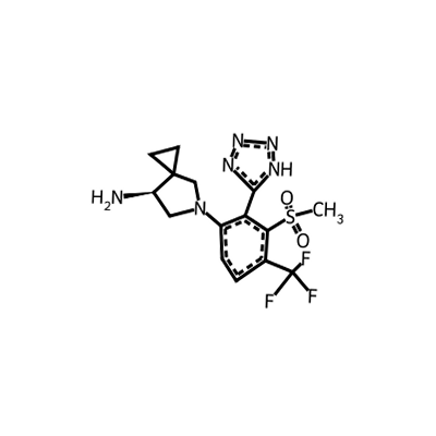 CS(=O)(=O)c1c(C(F)(F)F)ccc(N2C[C@@H](N)C3(CC3)C2)c1-c1nnn[nH]1